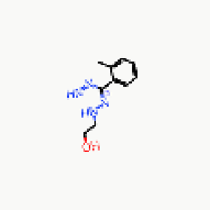 Cc1ccccc1/C(N=N)=N/NCCO